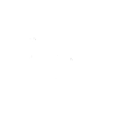 Nc1ccc(C(=C2CC2)N2CCCC2)cc1F